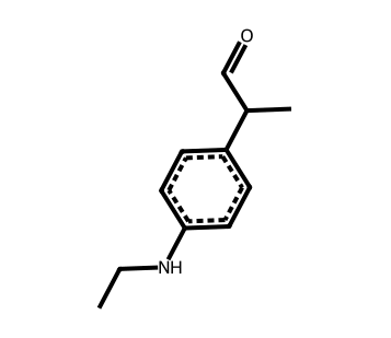 CCNc1ccc(C(C)C=O)cc1